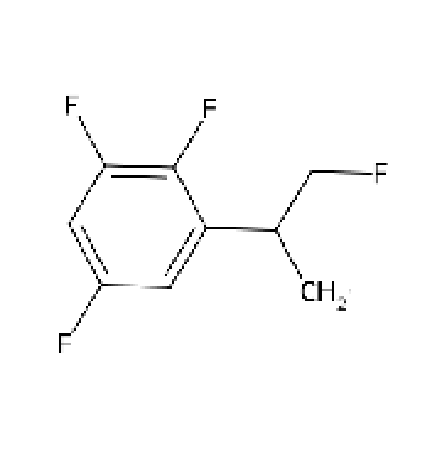 [CH2]C(CF)c1cc(F)cc(F)c1F